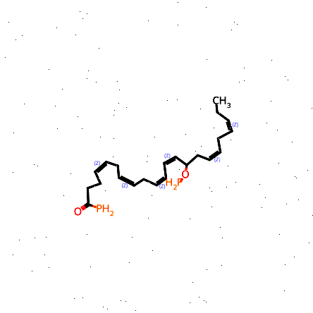 CC/C=C\C/C=C\CC(/C=C\C=C/C/C=C\C/C=C\CCC(=O)P)OP